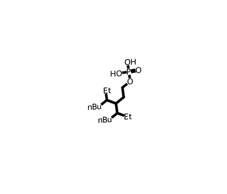 CCCCC(CC)C(CCOP(=O)(O)O)C(CC)CCCC